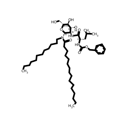 CCCCCCCCCCCCCCCC(=O)N(CCCCCCCCCCCC)[C@@H]1O[C@H](CO)[C@@H](O)[C@H](O)[C@H]1NC(=O)[C@H](CC(C)C)NC(=O)OCc1ccccc1